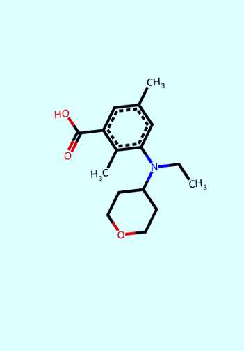 CCN(c1cc(C)cc(C(=O)O)c1C)C1CCOCC1